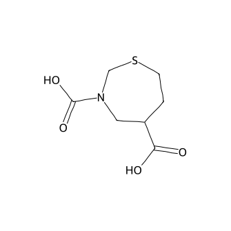 O=C(O)C1CCSCN(C(=O)O)C1